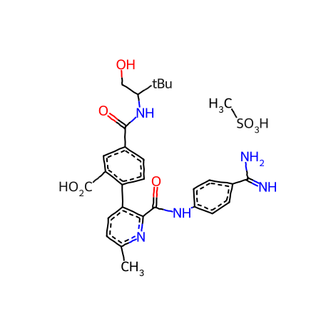 CS(=O)(=O)O.Cc1ccc(-c2ccc(C(=O)NC(CO)C(C)(C)C)cc2C(=O)O)c(C(=O)Nc2ccc(C(=N)N)cc2)n1